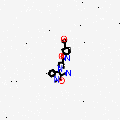 Cn1c(=O)c(C#N)c(N2CCC(c3nc4ccc(C5COC5)cc4o3)CC2)c2ccccc21